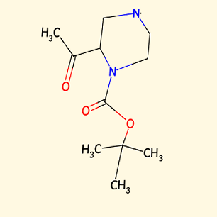 CC(=O)C1C[N]CCN1C(=O)OC(C)(C)C